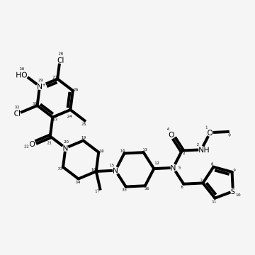 CONC(=O)N(Cc1ccsc1)C1CCN(C2(C)CCN(C(=O)c3c(C)cc(Cl)[n+](O)c3Cl)CC2)CC1